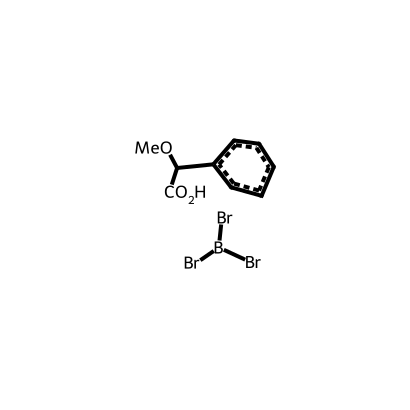 BrB(Br)Br.COC(C(=O)O)c1ccccc1